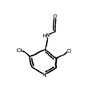 O=CNc1c(Cl)cncc1Cl